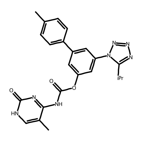 Cc1ccc(-c2cc(OC(=O)Nc3nc(=O)[nH]cc3C)cc(-n3nnnc3C(C)C)c2)cc1